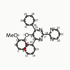 COc1ccccc1Oc1c(-c2ccccc2)nc(-c2ncccn2)nc1-c1ccccc1